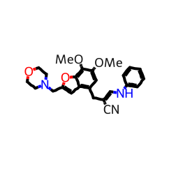 COc1cc(CC(C#N)=CNc2ccccc2)c2cc(CN3CCOCC3)oc2c1OC